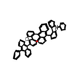 c1ccc(-c2c3ccccc3c(-c3cccc4c3oc3cccc(-c5c6ccccc6c(-c6cccc7c6c6ccccc6n7-c6ccccc6)c6ccccc56)c34)c3ccccc23)cc1